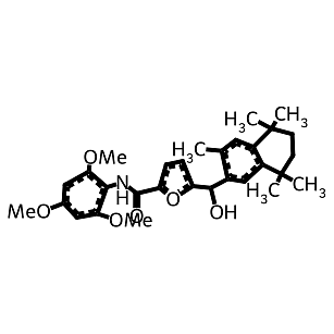 COc1cc(OC)c(NC(=O)c2ccc(C(O)c3cc4c(cc3C)C(C)(C)CCC4(C)C)o2)c(OC)c1